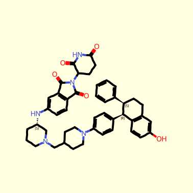 O=C1CCC(N2C(=O)c3ccc(N[C@H]4CCCN(CC5CCN(c6ccc([C@@H]7c8ccc(O)cc8CC[C@@H]7c7ccccc7)cc6)CC5)C4)cc3C2=O)C(=O)N1